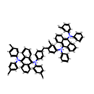 Cc1ccc(N(c2ccc(C)cc2)c2c3ccccc3c(N(c3ccc(C)cc3)c3ccc(Cc4ccc(N(c5ccccc5)c5c6ccccc6c(N(c6ccccc6)c6cccc(C)c6)c6ccccc56)cc4C)cc3)c3ccccc23)cc1